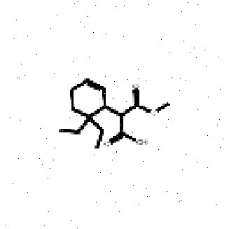 CCC1(CC)CCC=CC1C(C(=O)O)C(=O)OC